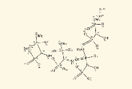 COP(=O)([O-])C(O)P(=O)([O-])[O-].COP(=O)([O-])C(O)P(=O)([O-])[O-].COP(=O)([O-])C(O)P(=O)([O-])[O-].COP(=O)([O-])C(O)P(=O)([O-])[O-].[Sn+4].[Sn+4].[Sn+4]